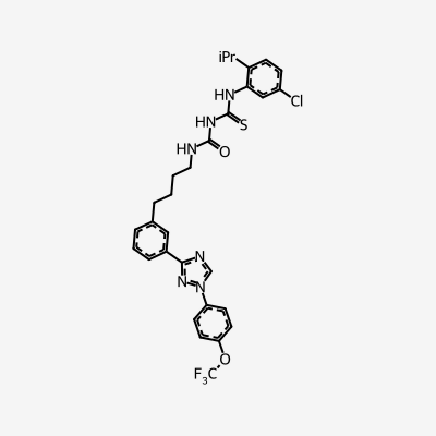 CC(C)c1ccc(Cl)cc1NC(=S)NC(=O)NCCCCc1cccc(-c2ncn(-c3ccc(OC(F)(F)F)cc3)n2)c1